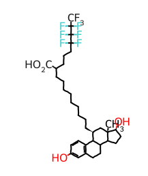 C[C@]12C[C@H](CCCCCCCCCC(CCCC(F)(F)C(F)(F)C(F)(F)C(F)(F)F)C(=O)O)C3c4ccc(O)cc4CCC3C1CC[C@@H]2O